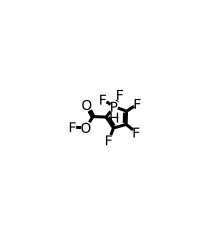 O=C(OF)C1=C(F)C(F)=C(F)[PH]1(F)F